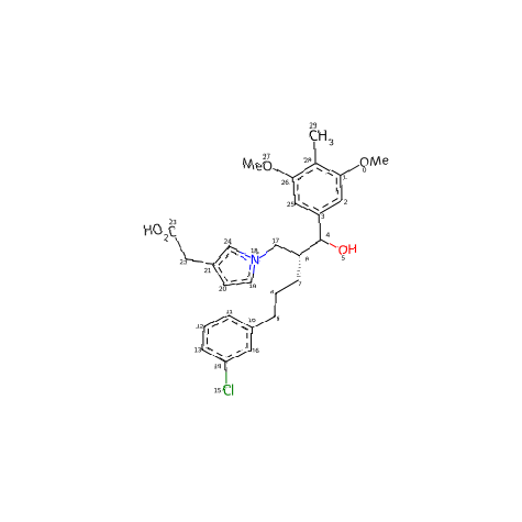 COc1cc(C(O)[C@H](CCCc2cccc(Cl)c2)Cn2ccc(CC(=O)O)c2)cc(OC)c1C